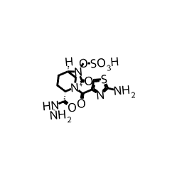 NNC(=O)[C@@H]1CC[C@@H]2C[N+]1(C(=O)c1csc(N)n1)C(=O)N2OS(=O)(=O)O